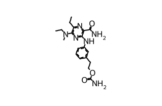 CCc1nc(C(N)=O)c(Nc2cccc(CCOC(N)=O)c2)nc1N(C)CC